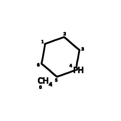 C.C1CCPCC1